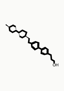 C[C@H]1CC[C@H]([C@H]2CC[C@H](CCc3ccc(-c4ccc(CCCO)cc4)cc3)CC2)CC1